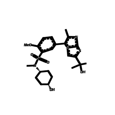 COc1ccc(-c2c(C)nc3sc(C(C)(C)O)cn23)cc1S(=O)(=O)N(C)[C@H]1CC[C@@H](O)CC1